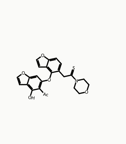 CC(=O)c1c(Oc2c(CC(=S)N3CCOCC3)ccc3occc23)cc2occc2c1O